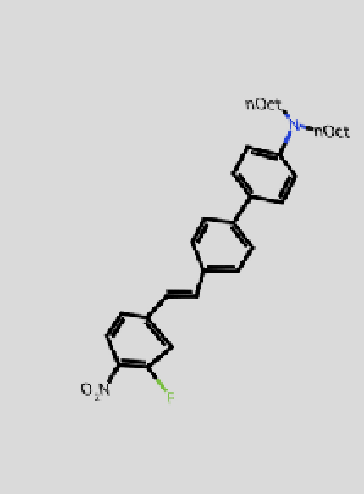 CCCCCCCCN(CCCCCCCC)c1ccc(-c2ccc(C=Cc3ccc([N+](=O)[O-])c(F)c3)cc2)cc1